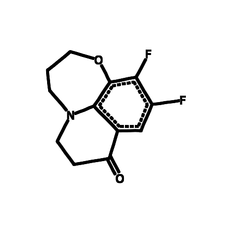 O=C1CCN2CCCOc3c(F)c(F)cc1c32